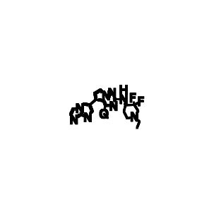 CCN1CC[C@@H](Nc2nc(OC)c3c(-c4cnc5nccn5c4)ccn3n2)C(F)(F)C1